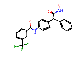 O=C(Nc1ccc(C(C(=O)NO)c2ccccc2)cc1)c1cccc(C(F)(F)F)c1